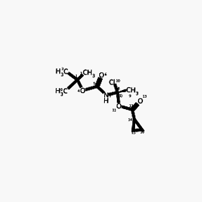 CC(C)(C)OC(=O)N[C@](C)(Cl)OC(=O)C1CC1